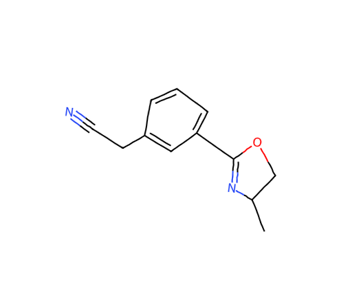 CC1COC(c2cccc(CC#N)c2)=N1